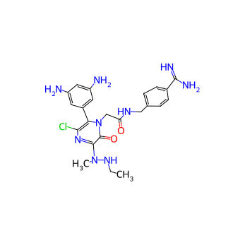 CCNN(C)c1nc(Cl)c(-c2cc(N)cc(N)c2)n(CC(=O)NCc2ccc(C(=N)N)cc2)c1=O